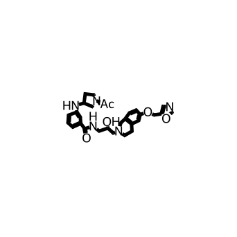 CC(=O)N1CCC(Nc2cccc(C(=O)NCC(O)CN3CCc4cc(OCc5cnco5)ccc4C3)c2)C1